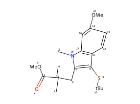 COC(=O)C(C)(C)Cc1c(SC(C)(C)C)c2ccc(OC)cc2n1C